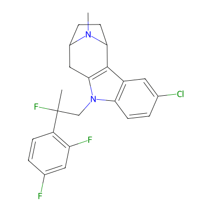 CN1C2CCC1c1c(n(CC(C)(F)c3ccc(F)cc3F)c3ccc(Cl)cc13)C2